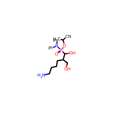 CC(C#N)OP(=O)(C(O)C(CO)CCCCN)N(C(C)C)C(C)C